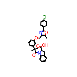 Cc1oc(-c2ccc(Cl)cc2)nc1COc1cccc(C(C)(C)C(=O)N2c3ccccc3CC2C(=O)O)c1